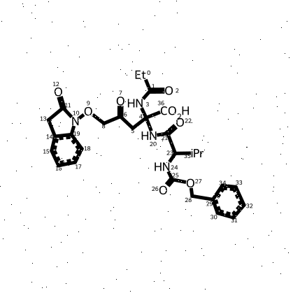 CCC(=O)NC(CC(=O)CON1C(=O)Cc2ccccc21)(NC(=O)C(NC(=O)OCc1ccccc1)C(C)C)C(=O)O